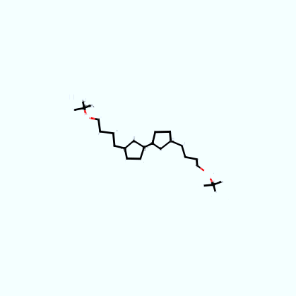 CC(C)(C)OCCCCC1CCC(C2CCC(CCCCOC(C)(C)C)C2)C1